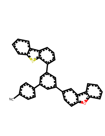 N#Cc1ccc(-c2cc(-c3ccc4oc5ccccc5c4c3)cc(-c3cccc4c3sc3ccccc34)c2)cc1